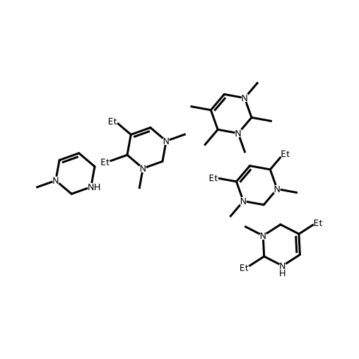 CC1=CN(C)C(C)N(C)C1C.CCC1=CC(CC)N(C)CN1C.CCC1=CN(C)CN(C)C1CC.CCC1=CNC(CC)N(C)C1.CN1C=CCNC1